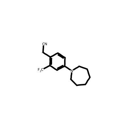 N#C[C]c1ccc(N2CCCCCC2)cc1C(F)(F)F